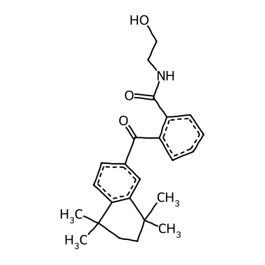 CC1(C)CCC(C)(C)c2cc(C(=O)c3ccccc3C(=O)NCCO)ccc21